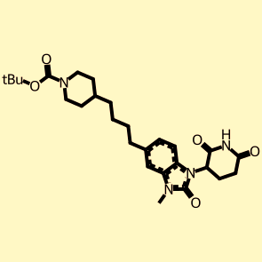 Cn1c(=O)n(C2CCC(=O)NC2=O)c2ccc(CCCCC3CCN(C(=O)OC(C)(C)C)CC3)cc21